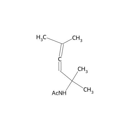 CC(=O)NC(C)(C)C=C=C(C)C